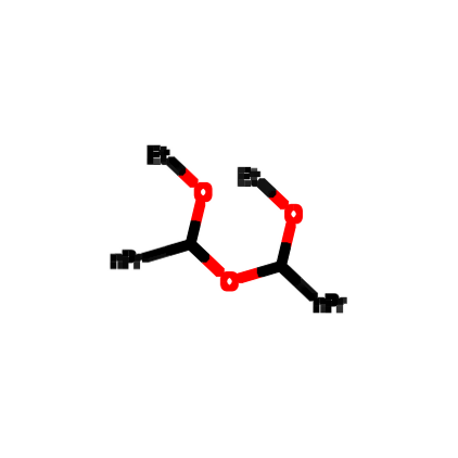 CCCC(OCC)OC(CCC)OCC